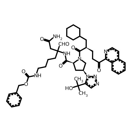 CC(C)(O)c1cnnn1[C@H]1C[C@@H](C(=O)NC(C=O)(CCCCNC(=O)OCc2ccccc2)CC(N)=O)N(C(=O)[C@H](CCC(=O)c2nccc3ccccc23)CC2CCCCC2)C1